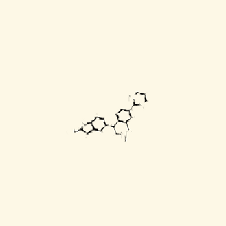 CN1Cc2cc(-c3ncccn3)ccc2C(c2ccc3sc(Cl)cc3c2)C1